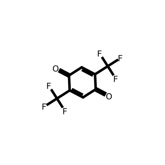 O=C1C=C(C(F)(F)F)C(=O)C=C1C(F)(F)F